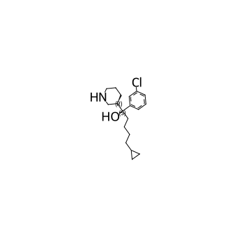 O[C@](CCCCC1CC1)(c1cccc(Cl)c1)[C@@H]1CCCNC1